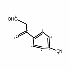 N#Cc1ccc(C(=O)CC=O)cc1